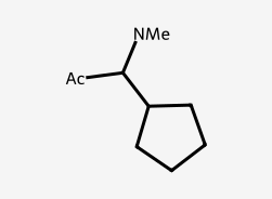 CNC(C(C)=O)C1CCCC1